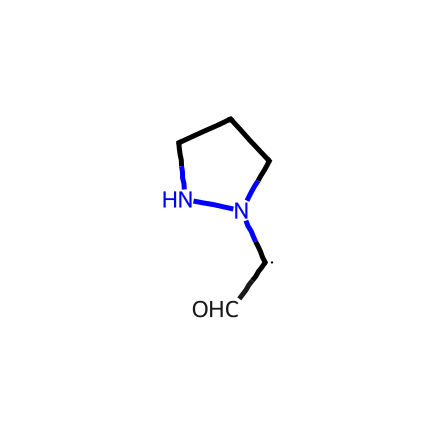 O=C[CH]N1CCCN1